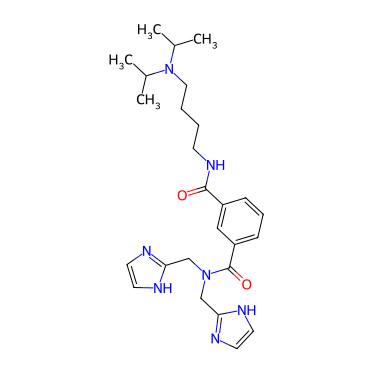 CC(C)N(CCCCNC(=O)c1cccc(C(=O)N(Cc2ncc[nH]2)Cc2ncc[nH]2)c1)C(C)C